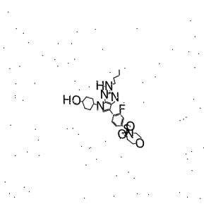 CCCCNc1ncc2c(-c3ccc(S(=O)(=O)N4CCOCC4)cc3F)cn(C3CCC(O)CC3)c2n1